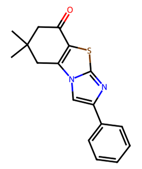 CC1(C)CC(=O)c2sc3nc(-c4ccccc4)cn3c2C1